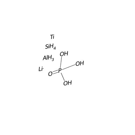 O=P(O)(O)O.[AlH3].[Li].[SiH4].[Ti]